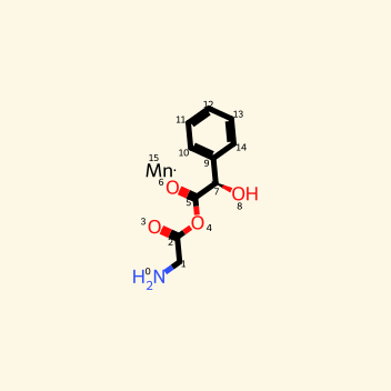 NCC(=O)OC(=O)[C@H](O)c1ccccc1.[Mn]